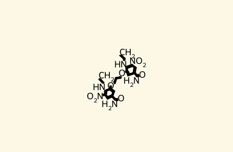 C=CCNc1c(OCCCOc2cc(C(N)=O)cc([N+](=O)[O-])c2NCC=C)cc(C(N)=O)cc1[N+](=O)[O-]